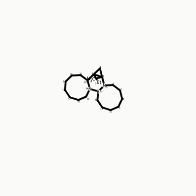 CCC12CC1(C)N1CCCCCCCB1B1CCCCCCCC12